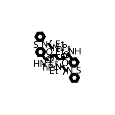 CCCNC(=O)c1ccc2c(c1OC(=O)/C=C/C(=O)Oc1c(C(=O)NCCC)ccc3c1N([C@@H](C)CN(CC)CC)c1ccccc1S3)N([C@@H](C)CN(CC)CC)c1ccccc1S2